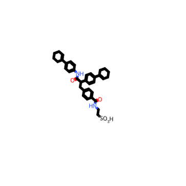 O=C(NCCS(=O)(=O)O)c1ccc(CC(C(=O)Nc2ccc(C3=CCCCC3)cc2)c2ccc(C3=CCCCC3)cc2)cc1